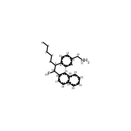 CCCCCC(c1ccc(CN)cc1)C(F)c1ccc2ccccc2c1